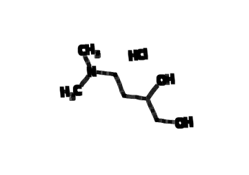 CN(C)CCC(O)CO.Cl